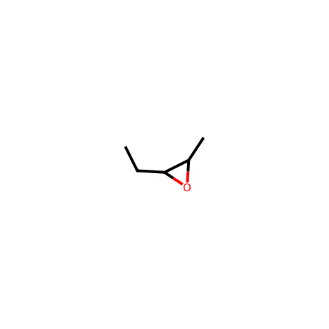 CCC1OC1C